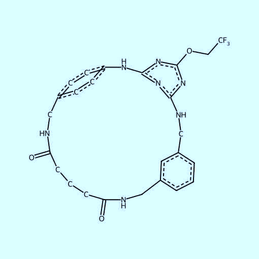 O=C1CCCC(=O)NCc2cccc(c2)CNc2nc(nc(OCC(F)(F)F)n2)Nc2ccc(cc2)CN1